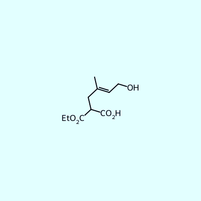 CCOC(=O)C(CC(C)=CCO)C(=O)O